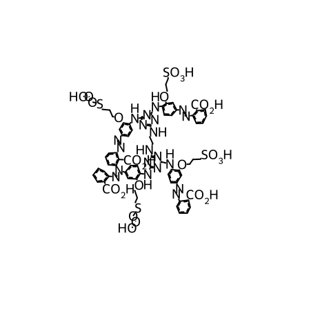 O=C(O)c1ccccc1N=Nc1ccc(Nc2nc(NCCNc3nc(Nc4ccc(N=Nc5ccccc5C(=O)O)cc4OCCCSOOO)nc(Nc4ccc(N=Nc5ccccc5C(=O)O)cc4OCCCS(=O)(=O)O)n3)nc(Nc3ccc(N=Nc4ccccc4C(=O)O)cc3OCCCS(=O)(=O)O)n2)c(OCCCSOOO)c1